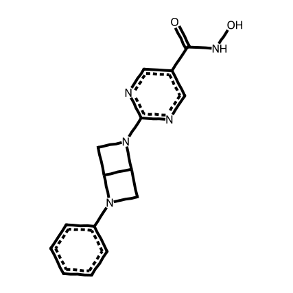 O=C(NO)c1cnc(N2CC3C2CN3c2ccccc2)nc1